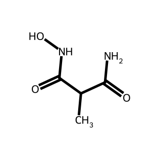 CC(C(N)=O)C(=O)NO